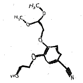 COC(COc1ccc(C#N)cc1OCCO)OC